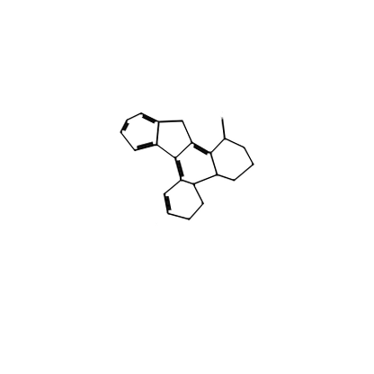 [Cl-].[Cl-].[Zr+2][CH]1CCCC2C1=C1Cc3ccccc3C1=C1C=CCCC12